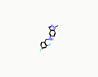 Cn1ncc2cc(NCc3ccc(F)cc3F)ccc21